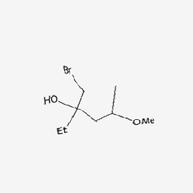 CCC(O)(CBr)CC(C)OC